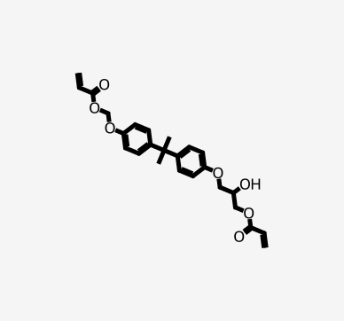 C=CC(=O)OCOc1ccc(C(C)(C)c2ccc(OCC(O)COC(=O)C=C)cc2)cc1